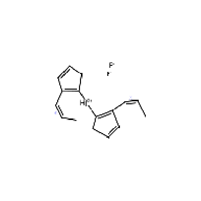 C/C=C\C1=[C]([Hf+2][C]2=C(/C=C\C)C=CC2)CC=C1.[F-].[F-]